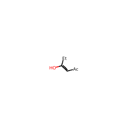 CC/C(O)=C\C(C)=O